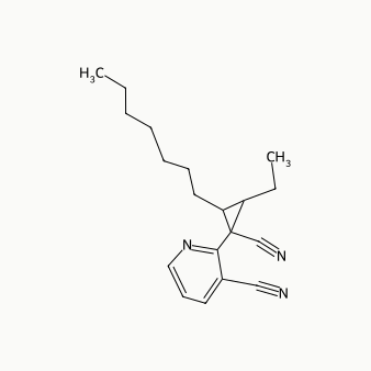 CCCCCCCC1C(CC)C1(C#N)c1ncccc1C#N